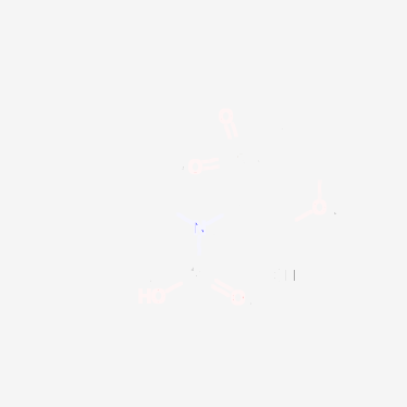 CC1=C(N(C(=O)O)c2ccccc2)S(=O)(=O)CCO1